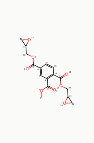 COC(=O)c1cc(C(=O)OCC2CO2)ccc1C(=O)OCC1CO1